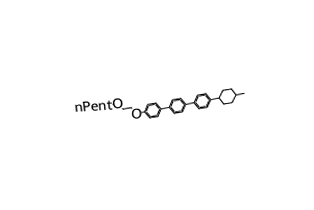 [CH2+][CH-]CCCOCCOc1ccc(-c2ccc(-c3ccc(C4CCC(C)CC4)cc3)cc2)cc1